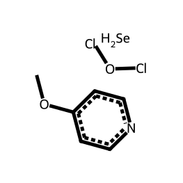 COc1ccncc1.ClOCl.[SeH2]